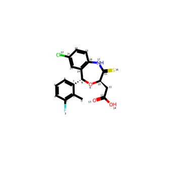 Cc1c(F)cccc1[C@H]1O[C@H](CC(=O)O)C(=S)Nc2ccc(Cl)cc21